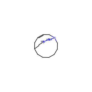 C1=C\CN2CCCCCCC(C/1)CCCNNN2